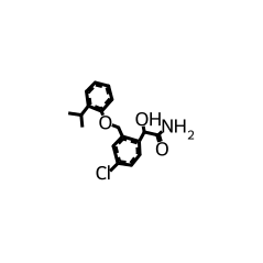 CC(C)c1ccccc1OCc1cc(Cl)ccc1C(O)C(N)=O